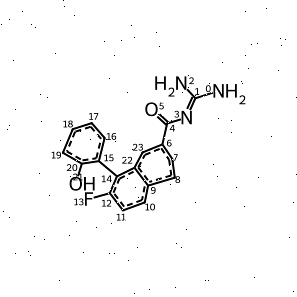 NC(N)=NC(=O)c1ccc2ccc(F)c(-c3ccccc3O)c2c1